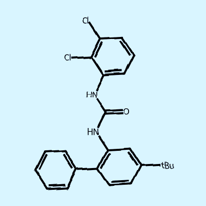 CC(C)(C)c1ccc(-c2ccccc2)c(NC(=O)Nc2cccc(Cl)c2Cl)c1